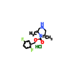 C[C@@H]1CNC[C@H](C)N1C(=O)OCc1cc(F)ccc1F.Cl